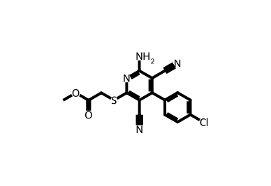 COC(=O)CSc1nc(N)c(C#N)c(-c2ccc(Cl)cc2)c1C#N